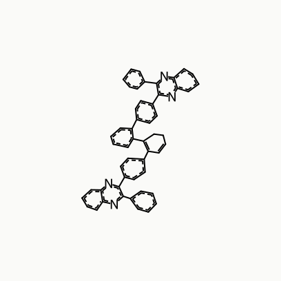 C1=CC(c2ccc(-c3nc4ccccc4nc3-c3ccccc3)cc2)=C(c2ccccc2-c2ccc(-c3nc4ccccc4nc3-c3ccccc3)cc2)CC1